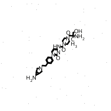 C[C@](N)(CO)C(=O)N1CCN(C(=O)Nc2ccn(-c3ccc(CCN4CC5C(N)C5C4)cc3)c(=O)n2)CC1